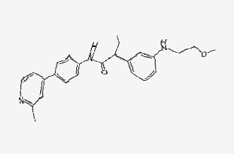 COCCNc1cccc(C(C)C(=O)Nc2ccc(-c3ccnc(C)c3)cc2)c1